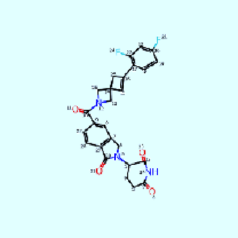 O=C1CCC(N2Cc3cc(C(=O)N4CC5(C=C(c6ccc(F)cc6F)C5)C4)ccc3C2=O)C(=O)N1